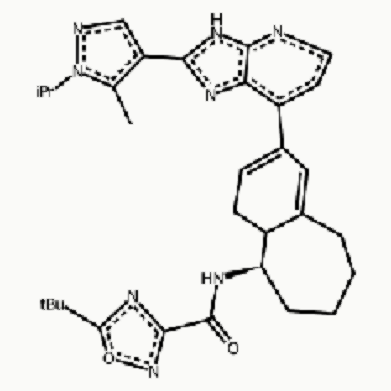 Cc1c(-c2nc3c(C4=CCC5C(=C4)CCCC[C@H]5NC(=O)c4noc(C(C)(C)C)n4)ccnc3[nH]2)cnn1C(C)C